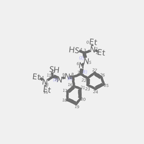 CCN(CC)/C(S)=N/N=C(/C(=N/N=C(\S)N(CC)CC)c1ccccc1)c1ccccc1